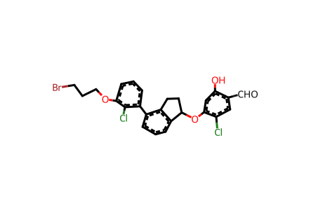 O=Cc1cc(Cl)c(OC2CCc3c(-c4cccc(OCCCBr)c4Cl)cccc32)cc1O